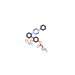 CCC(=O)Oc1ccc(-c2c(N3CCN(c4ccccc4)CC3)cccc2S(N)(=O)=O)cc1